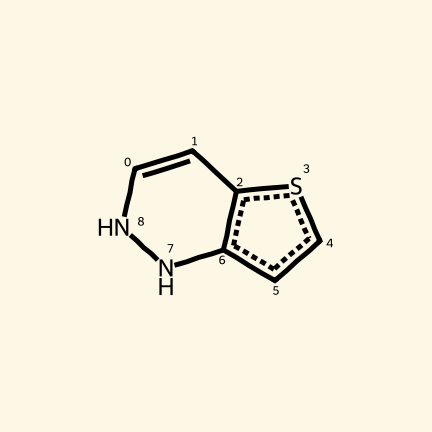 C1=Cc2sccc2NN1